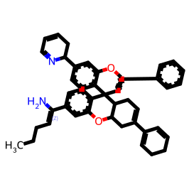 CCC/C=C(\N)c1ccc2c(c1)OC1CC(C3=CCCC=C3)=CCC1C21c2ccc(-c3ccccc3)cc2Oc2cc(C3CC=CC=N3)ccc21